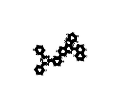 c1ccc(-c2nc(-c3ccccc3)nc(-c3cccc(-c4ccc5c(c4)nc(-c4cccc6ccccc46)c4c6ccccc6sc54)c3)n2)cc1